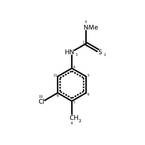 CNC(=S)Nc1ccc(C)c(Cl)c1